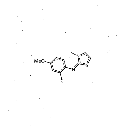 COc1ccc(N=c2sccn2C)c(Cl)c1